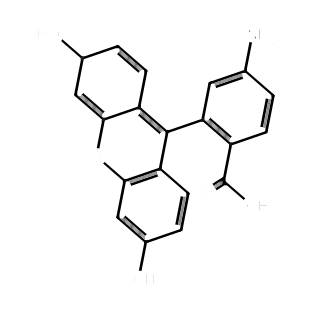 Nc1ccc(C(=O)O)c(C2=C3C=CC(O)C=C3Oc3cc(O)ccc32)c1